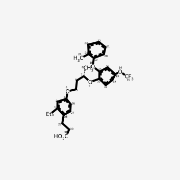 CCc1cc(OCC[C@H](C)Oc2ccc(OC(F)(F)F)cc2Oc2ccccc2C)ccc1CCC(=O)O